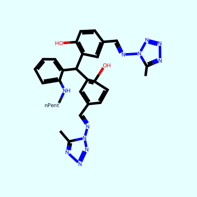 CCCCCNc1ccccc1C(c1cc(C=Nn2nnnc2C)ccc1O)c1cc(C=Nn2nnnc2C)ccc1O